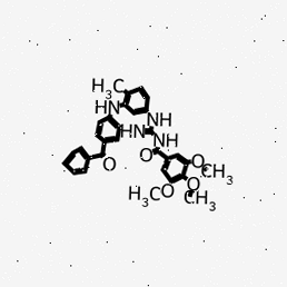 COc1cc(C(=O)NC(=N)Nc2ccc(C)c(Nc3ccc(C(=O)c4ccccc4)cc3)c2)cc(OC)c1OC